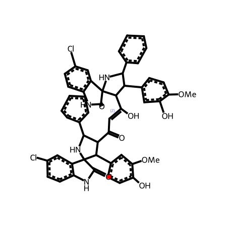 COc1ccc(C2C(c3ccccc3)NC3(C(=O)Nc4ccc(Cl)cc43)C2/C(O)=C/C(=O)C2C(c3ccccc3)NC3(C(=O)Nc4ccc(Cl)cc43)C2c2ccc(O)c(OC)c2)cc1O